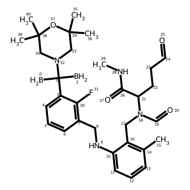 BC(B)(c1cccc(CNc2cccc(C)c2CN(C=O)C(CCC=O)C(=O)NC)c1F)N1CC(C)(C)OC(C)(C)C1